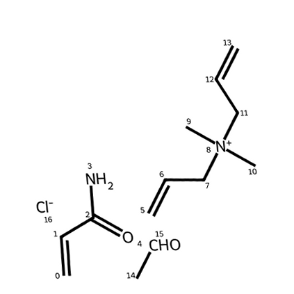 C=CC(N)=O.C=CC[N+](C)(C)CC=C.CC=O.[Cl-]